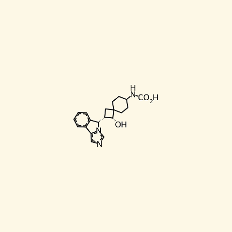 O=C(O)NC1CCC2(CC1)C[C@@H](C1c3ccccc3-c3cncn31)[C@H]2O